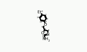 CCc1ccc(OCC2CN=C(N)O2)cc1